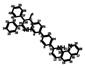 CC(c1ccc(-c2ccc(C3C=Cc4ccc5cccnc5c4N3)cc2)cc1)C(C(=N)c1ccccc1)c1ccccc1